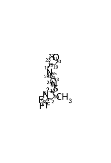 Cc1cc(C(F)(F)F)ncc1SN1CC2(CN(CC3CCOCC3)C2)C1